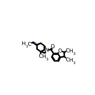 C/C=C1/CC2CC(C)(C1)CN2C(=O)c1cccc2c1OC(C)C2C